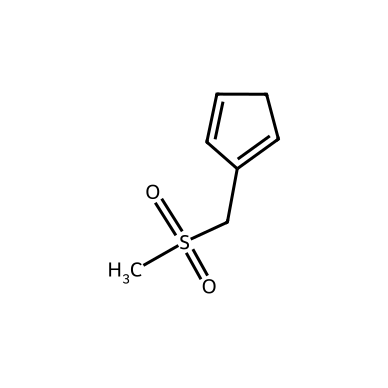 CS(=O)(=O)CC1=CCC=C1